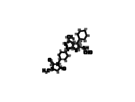 Cc1nn(C2CCC(N3C(=O)CN(C)C3=O)CC2)c2sc(NC=O)c(C3CCCCC3)c12